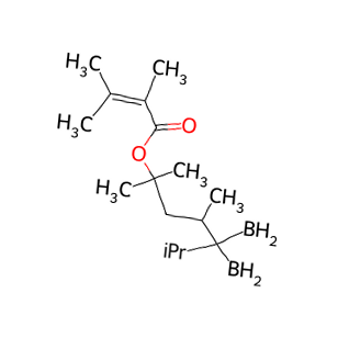 BC(B)(C(C)C)C(C)CC(C)(C)OC(=O)C(C)=C(C)C